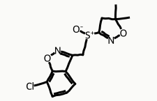 CC1(C)CC([S+]([O-])Cc2noc3c(Cl)cccc23)=NO1